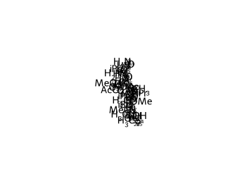 CC[C@H](C)[C@@H]([C@@H](CC(=O)N1CCC[C@H]1[C@H](OC)[C@@H](C)C(=O)N[C@H](C)[C@@H](O)c1ccccc1)OC)N(C)C(=O)[C@@H](NC(=O)[C@H](C(C)C)N(C)C(=O)OCc1ccc(NC(=O)[C@H](CCCNC(N)=O)NC(=O)[C@@H](N)C(C)C)c(O[C@@H]2O[C@H](C(=O)OC)[C@@H](OC(C)=O)[C@H](OC(C)=O)[C@H]2OC(C)=O)c1)C(C)C